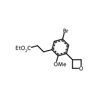 CCOC(=O)CCc1cc(Br)cc(C2COC2)c1OC